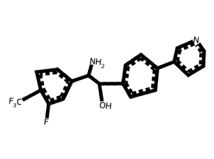 NC(c1ccc(C(F)(F)F)c(F)c1)C(O)c1ccc(-c2cccnc2)cc1